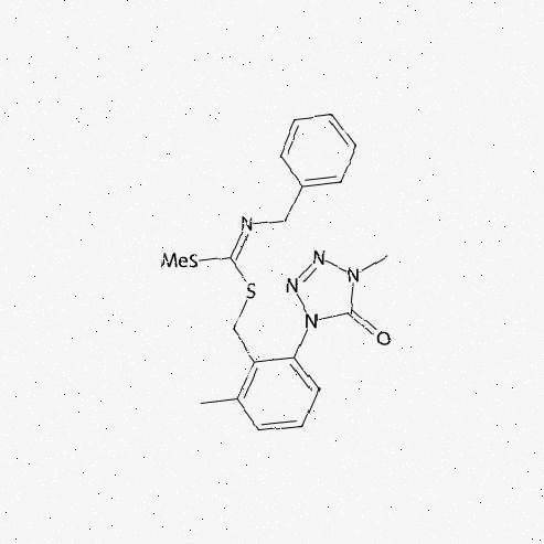 CS/C(=N/Cc1ccccc1)SCc1c(C)cccc1-n1nnn(C)c1=O